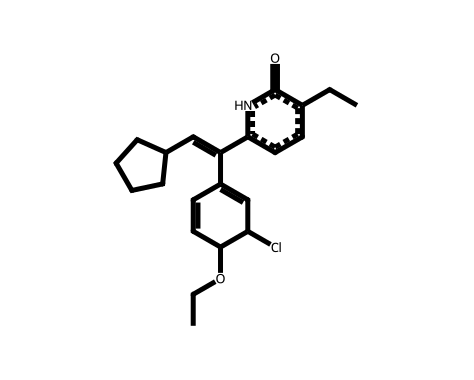 CCOC1C=CC(/C(=C\C2CCCC2)c2ccc(CC)c(=O)[nH]2)=CC1Cl